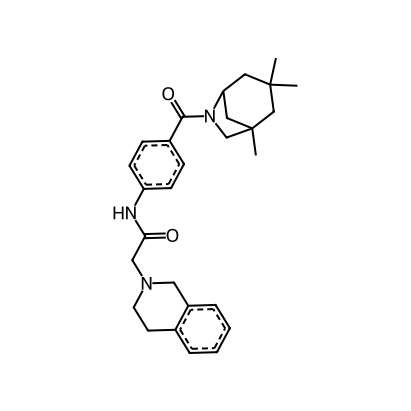 CC1(C)CC2CC(C)(CN2C(=O)c2ccc(NC(=O)CN3CCc4ccccc4C3)cc2)C1